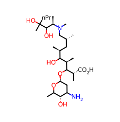 CCCC(C)(O)[C@H](O)[C@@H](C)N(C)C[C@H](C)C[C@H](C)C(O)[C@@H](C)C(O[C@H]1CC(N)[C@H](O)C(C)O1)[C@@H](C)C(=O)O